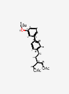 CCCCOc1cccc(-c2ccc(CCC(COC(C)=O)COC(C)=O)cc2)c1